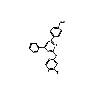 COc1ccc(-c2cc(-c3ccccc3)nc(Nc3ccc(F)c(F)c3)n2)cc1